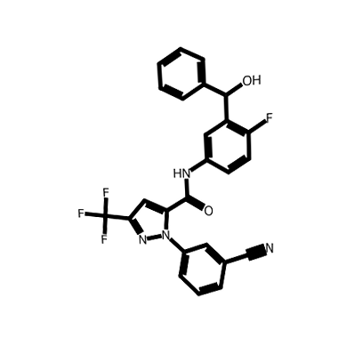 N#Cc1cccc(-n2nc(C(F)(F)F)cc2C(=O)Nc2ccc(F)c(C(O)c3ccccc3)c2)c1